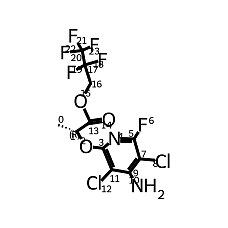 C[C@@H](Oc1nc(F)c(Cl)c(N)c1Cl)C(=O)OCC(F)(F)C(F)(F)F